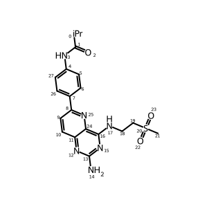 CC(C)C(=O)Nc1ccc(-c2ccc3nc(N)nc(NCCS(C)(=O)=O)c3n2)cc1